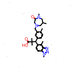 Cc1ccc(C(c2ccc3c(nnn3C)c2C)C(C)(C)C(=O)O)cc1CN1CC(=O)N(C)CC(C)C1